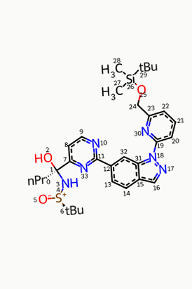 CCC[C@@](O)(N[S@+]([O-])C(C)(C)C)c1ccnc(-c2ccc3cnn(-c4cccc(CO[Si](C)(C)C(C)(C)C)n4)c3c2)n1